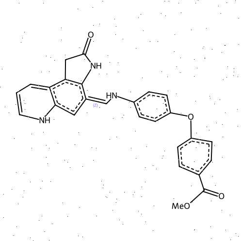 COC(=O)c1ccc(Oc2ccc(N/C=c3/cc4c(c5c3NC(=O)C5)=CC=CN4)cc2)cc1